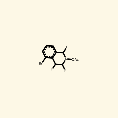 CC(=O)ON1C(F)c2cccc(Br)c2C(F)C1F